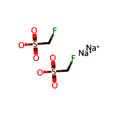 O=S(=O)([O-])CF.O=S(=O)([O-])CF.[Na+].[Na+]